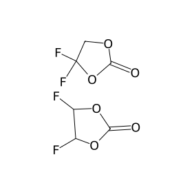 O=C1OC(F)C(F)O1.O=C1OCC(F)(F)O1